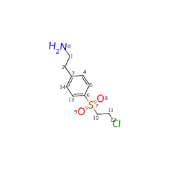 NCCc1ccc(S(=O)(=O)CCCl)cc1